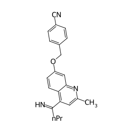 CCCC(=N)c1cc(C)nc2cc(OCc3ccc(C#N)cc3)ccc12